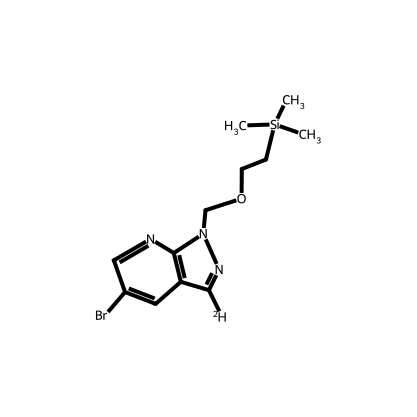 [2H]c1nn(COCC[Si](C)(C)C)c2ncc(Br)cc12